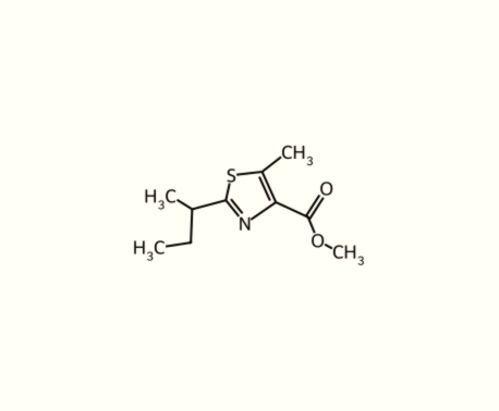 CCC(C)c1nc(C(=O)OC)c(C)s1